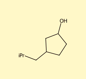 CC(C)CC1CCC(O)C1